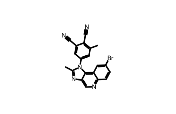 Cc1cc(-n2c(C)nc3cnc4ccc(Br)cc4c32)cc(C#N)c1C#N